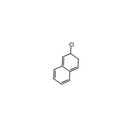 Cl[C]1C=c2ccccc2=CC1